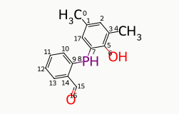 Cc1cc(C)c(O)c(Pc2ccccc2C=O)c1